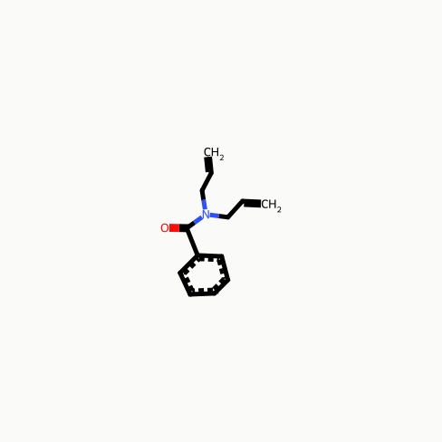 C=CCN(CC=C)C(=O)c1cc[c]cc1